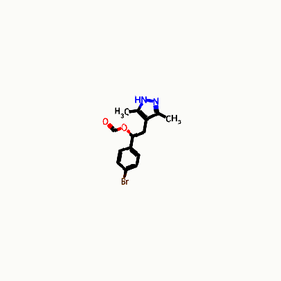 Cc1n[nH]c(C)c1CC(OC=O)c1ccc(Br)cc1